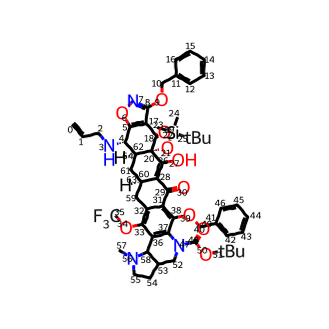 C=CCN[C@@H]1c2onc(OCc3ccccc3)c2C(=O)[C@@]2(O[Si](C)(C)C(C)(C)C)C(O)=C3C(=O)c4c(c(OC(F)(F)F)c5c(c4OCc4ccccc4)N(C(=O)OC(C)(C)C)CC4CCN(C)C54)C[C@H]3C[C@@H]12